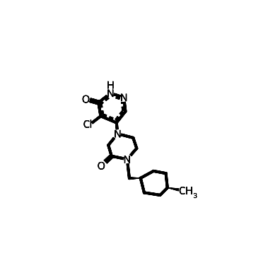 C[C@H]1CC[C@@H](CN2CCN(c3cn[nH]c(=O)c3Cl)CC2=O)CC1